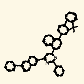 CC1(C)c2ccccc2-c2ccc(-c3ccc(-c4cc(-c5ccc6cc(-c7ccccc7)ccc6c5)nc(-c5ccccc5)n4)c4ccccc34)cc21